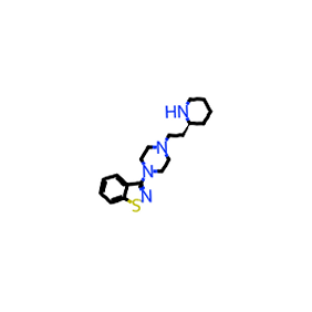 c1ccc2c(N3CCN(CC[C@@H]4CCCCN4)CC3)nsc2c1